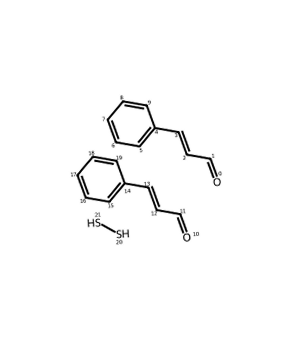 O=C/C=C/c1ccccc1.O=C/C=C/c1ccccc1.SS